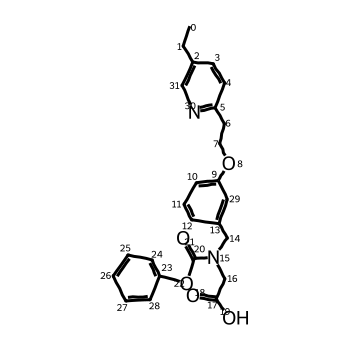 CCc1ccc(CCOc2cccc(CN(CC(=O)O)C(=O)Oc3ccccc3)c2)nc1